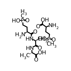 CP(=O)(O)CCC(N)C(=O)O.C[C@H](NC(=O)[C@H](C)NC(=O)[C@@H](N)CCP(C)(=O)O)C(=O)O